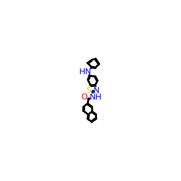 O=C(Nc1nc2ccc(Nc3ccccc3)cc2s1)c1ccc2ccccc2c1